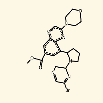 COC(=O)c1cc(C2CCCN2C2CN=CC(Br)=N2)c2nc(N3CCOCC3)cnc2c1